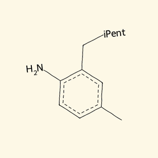 CCCC(C)Cc1cc(C)ccc1N